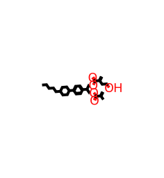 C=C(C)C(=O)OCC(COC(=O)C(=C)CCO)c1ccc(C2CCC(CCCCC)CC2)cc1